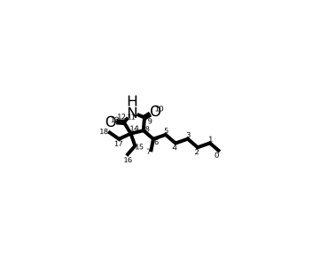 CCCCCCC(C)C1C(=O)NC(=O)C1(CC)CC